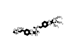 CCCC(C)(Oc1ccc(/C=N/N(C)[PH](=S)C(CC)(CC)Oc2ccc(/C=C/[PH]3(OC)OCO3)cc2)cc1)P(N)P(N)PN